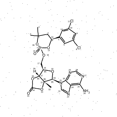 CC1(C)C[C@@H](c2cc(Cl)cc(Cl)c2)OP(=O)(OC[C@H]2O[C@@H](n3cnc4c(N)ncnc43)[C@]3(C)OC(=O)O[C@H]23)O1